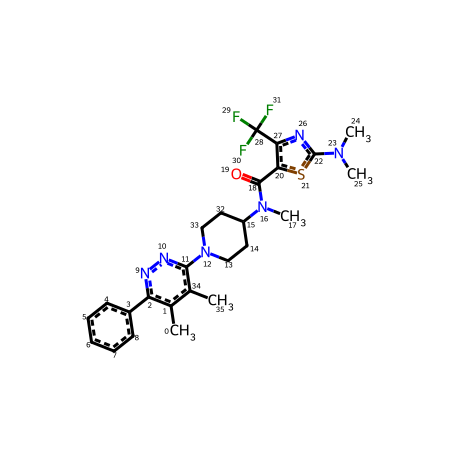 Cc1c(-c2ccccc2)nnc(N2CCC(N(C)C(=O)c3sc(N(C)C)nc3C(F)(F)F)CC2)c1C